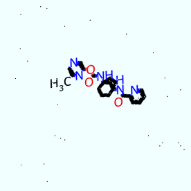 Cc1cncc(OC(=O)NC23CCCC(NC(=O)c4ccccn4)(CC2)C3)n1